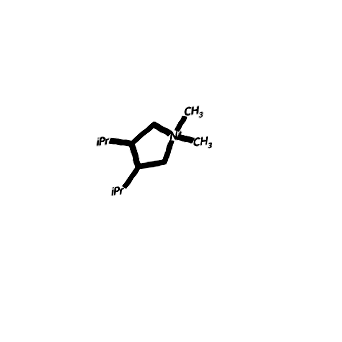 CC(C)C1C[N+](C)(C)CC1C(C)C